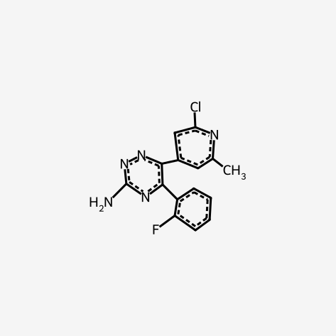 Cc1cc(-c2nnc(N)nc2-c2ccccc2F)cc(Cl)n1